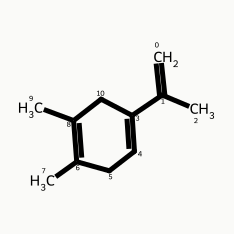 C=C(C)C1=CCC(C)=C(C)C1